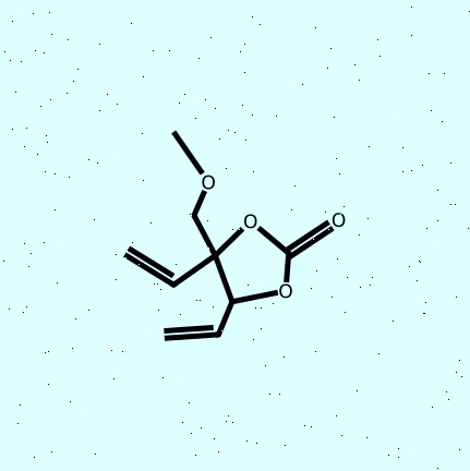 C=CC1OC(=O)OC1(C=C)COC